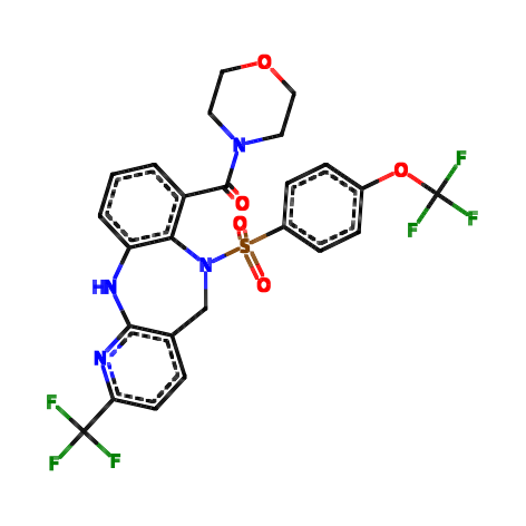 O=C(c1cccc2c1N(S(=O)(=O)c1ccc(OC(F)(F)F)cc1)Cc1ccc(C(F)(F)F)nc1N2)N1CCOCC1